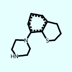 c1cc2c(c(N3CCNCC3)c1)SCCC2